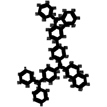 c1ccc(N(c2ccccc2)c2ccc(N(c3ccc(-c4ccc5c(c4)c4ccccc4n5-c4ccccc4)cc3)c3ccc4ccccc4c3)cc2)cc1